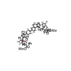 COC(=O)N[C@H](C(=O)N1[C@@H]2CC[C@@H](C2)[C@H]1c1nc(Cl)c(-c2ccc(-c3ccc4c(ccc5nc([C@@H]6C[C@@H](C)[C@@H](C)N6C(=O)[C@@H](NC(=O)OC)C(C)C)[nH]c54)c3)cc2)[nH]1)C(C)C